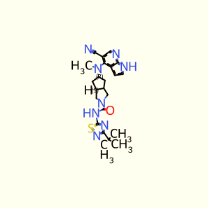 CN(c1c(C#N)cnc2[nH]ccc12)[C@@H]1CC2CN(C(=O)Nc3nc(C(C)(C)C)ns3)C[C@H]2C1